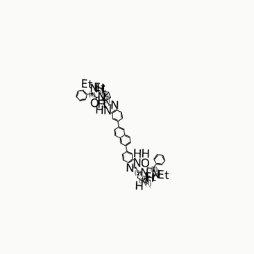 CCN(CC)[C@H](c1ccccc1)C(O)N1[C@@H]2[C@H](C)[C@@H]2C[C@H]1c1nc2ccc(-c3ccc4cc(-c5ccc6nc([C@@H]7C8C9[C@H]8[C@@H]9N7C(=O)[C@@H](c7ccccc7)N(CC)CC)[nH]c6c5)ccc4c3)cc2[nH]1